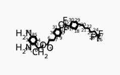 [CH2]C(COC(=O)/C=C/c1ccc(OC(F)(F)c2ccc(CCCCCC(F)(F)F)cc2)cc1)c1ccc(N)cc1N